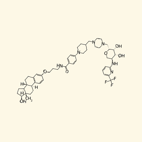 C[C@]12CC[C@@H]3c4ccc(OCCCNC(=O)c5ccc(N6CCC(CN7CCN(C[C@H]8OC[C@H](Nc9cccc(C(F)(F)F)n9)[C@@H](O)[C@H]8O)CC7)CC6)cc5)cc4CC[C@H]3[C@@H]1CC[C@@H]2O